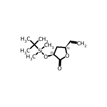 C=C[C@@H]1C[C@H](O[Si](C)(C)C(C)(C)C)C(=O)O1